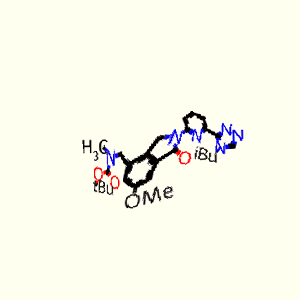 CC[C@H](C)n1cnnc1-c1cccc(N2Cc3c(CN(C)C(=O)OC(C)(C)C)cc(OC)cc3C2=O)n1